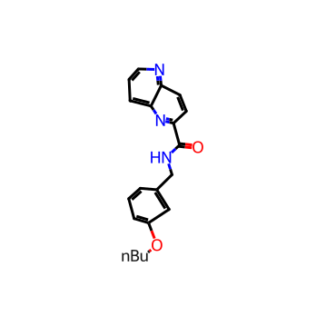 CCCCOc1cccc(CNC(=O)c2ccc3ncccc3n2)c1